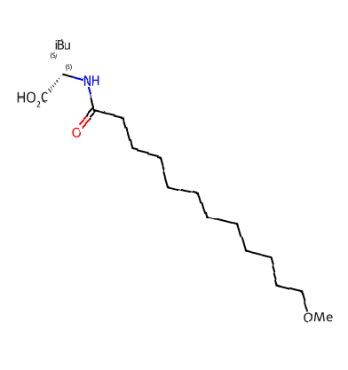 CC[C@H](C)[C@H](NC(=O)CCCCCCCCCCCOC)C(=O)O